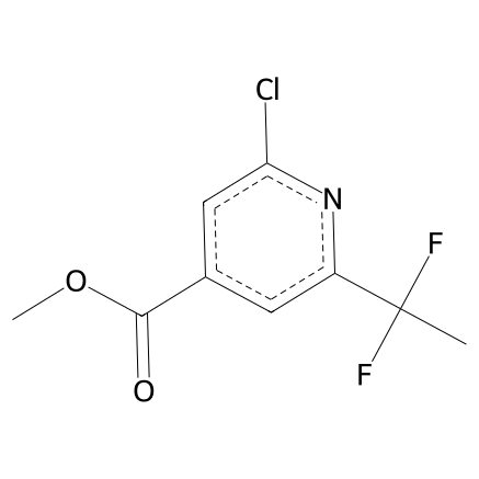 COC(=O)c1cc(Cl)nc(C(C)(F)F)c1